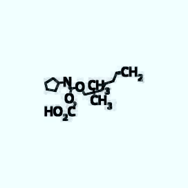 C=CCCCC(C)(C)COC(=NC1CCCC1)OCC(=O)O